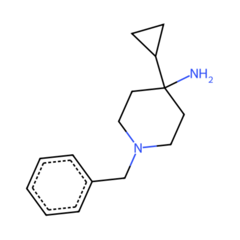 NC1(C2CC2)CCN(Cc2ccccc2)CC1